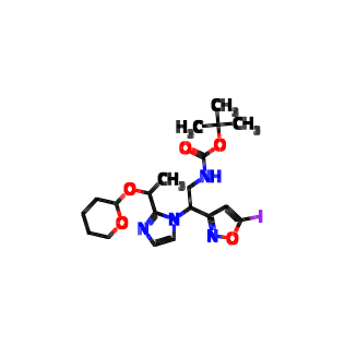 CC(OC1CCCCO1)c1nccn1C(CNC(=O)OC(C)(C)C)c1cc(I)on1